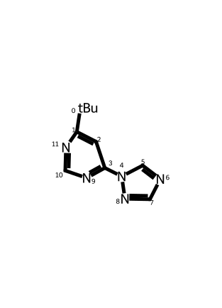 CC(C)(C)c1cc(-n2cncn2)ncn1